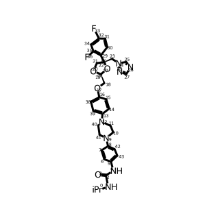 CC(C)NC(=O)Nc1ccc(N2CCN(c3ccc(OC[C@H]4OC[C@](Cn5cncn5)(c5ccc(F)cc5F)O4)cc3)CC2)cc1